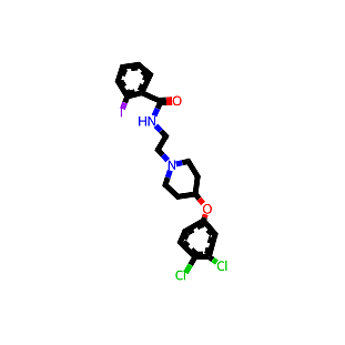 O=C(NCCN1CCC(Oc2ccc(Cl)c(Cl)c2)CC1)c1ccccc1I